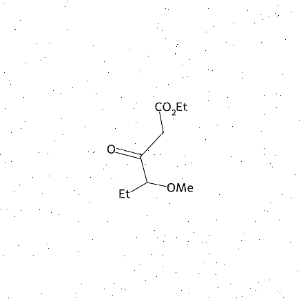 CCOC(=O)CC(=O)C(CC)OC